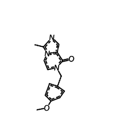 COc1ccc(Cn2ccn3c(C)ncc3c2=O)cc1